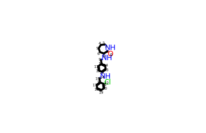 O=C1NCCCCC1NCc1ccc(NCc2ccccc2Cl)cc1